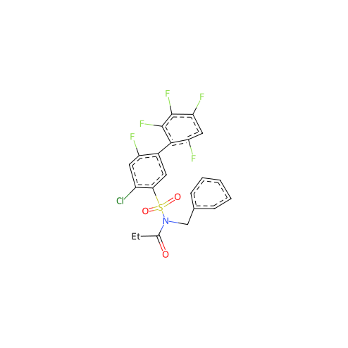 CCC(=O)N(Cc1ccccc1)S(=O)(=O)c1cc(-c2c(F)cc(F)c(F)c2F)c(F)cc1Cl